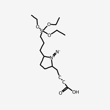 CCO[Si](CCCC1CCC(CCCC(=O)O)[N+]1=[N-])(OCC)OCC